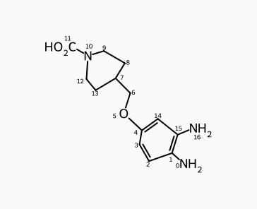 Nc1ccc(OCC2CCN(C(=O)O)CC2)cc1N